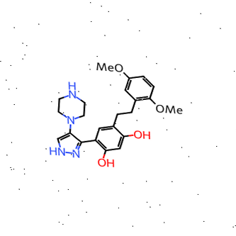 COc1ccc(OC)c(CCc2cc(-c3n[nH]cc3N3CCNCC3)c(O)cc2O)c1